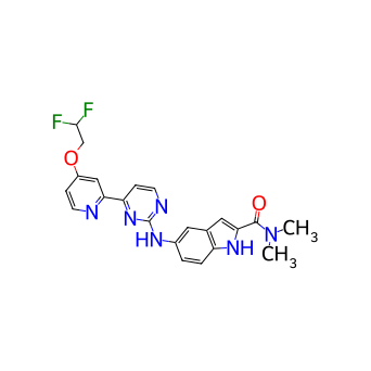 CN(C)C(=O)c1cc2cc(Nc3nccc(-c4cc(OCC(F)F)ccn4)n3)ccc2[nH]1